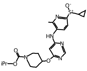 Cc1nc([S+]([O-])C2CC2)ccc1Nc1cc(OC2CCN(C(=O)OC(C)C)CC2)ncn1